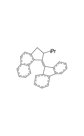 CC(C)C1Cc2ccc3ccccc3c2C1=C1c2ccccc2-c2ccccc21